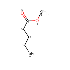 CCCCCCC(=O)O[SiH3]